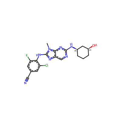 Cn1c(Nc2c(F)cc(C#N)cc2Cl)nc2cnc(N[C@@H]3CCC[C@H](O)C3)nc21